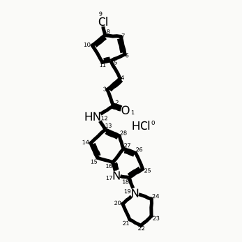 Cl.O=C(/C=C/c1ccc(Cl)cc1)Nc1ccc2nc(N3CCCCC3)ccc2c1